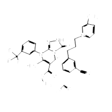 COC(=O)C1=C(C)N(c2cccc(C(F)(F)F)c2)c2n[nH]c(=O)n2[C@@H]1c1ccc(C#N)cc1CCC[n+]1cccc(C)c1.O=C[O-]